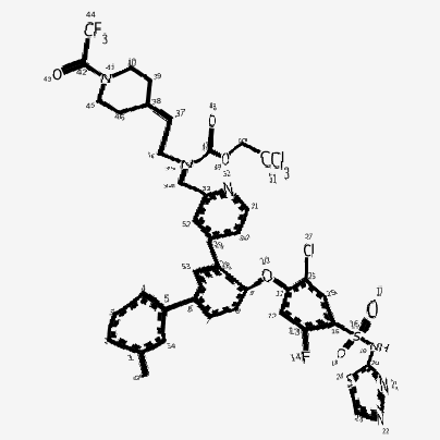 Cc1cccc(-c2ccc(Oc3cc(F)c(S(=O)(=O)Nc4nncs4)cc3Cl)c(-c3ccnc(CN(CCC4CCN(C(=O)C(F)(F)F)CC4)C(=O)OCC(Cl)(Cl)Cl)c3)c2)c1